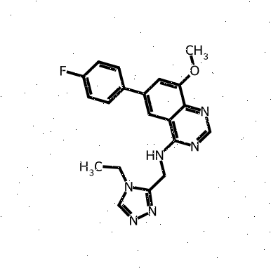 CCn1cnnc1CNc1ncnc2c(OC)cc(-c3ccc(F)cc3)cc12